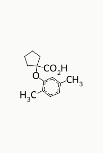 Cc1ccc(C)c(OC2(C(=O)O)CCCC2)c1